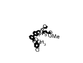 COC(=O)c1cc2c(nc(Cc3ccc(-c4cccc5c4OC(C)(c4ccc(Cl)cc4F)O5)cc3F)n2C[C@@H]2CCO2)s1